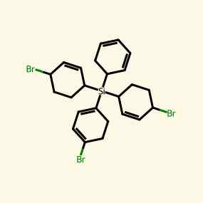 BrC1=CC=C([Si](C2C=CC=CC2)(C2C=CC(Br)CC2)C2C=CC(Br)CC2)CC1